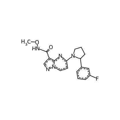 CONC(=O)c1cnn2ccc(N3CCCC3c3cccc(F)c3)nc12